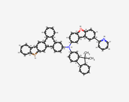 CC1(C)c2ccccc2-c2ccc(N(c3ccc4oc5ccc(-c6ccccn6)cc5c4c3)c3ccc4c(c3)c3ccccc3c3cc5c(cc43)sc3ccccc35)cc21